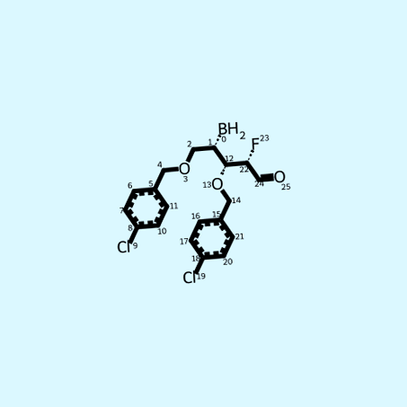 B[C@@H](COCc1ccc(Cl)cc1)[C@@H](OCc1ccc(Cl)cc1)[C@H](F)C=O